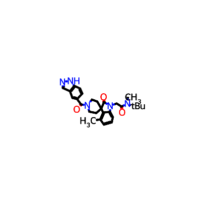 Cc1cccc2c1C1(CCN(C(=O)c3ccc4[nH]ncc4c3)CC1)C(=O)N2CC(=O)N(C)C(C)(C)C